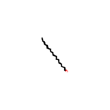 CCC=C/C=C/CCCCCCCCCCCC=O